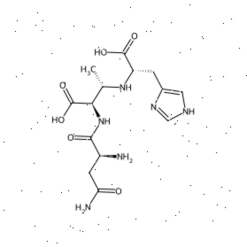 C[C@H](N[C@@H](Cc1c[nH]cn1)C(=O)O)[C@@H](NC(=O)[C@@H](N)CC(N)=O)C(=O)O